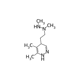 CNN(C)CCC1C=NNC(C)=C1C